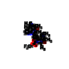 C[C@@H]1CN(C(=O)C(=O)OCC(F)(F)F)[C@@H](c2ccccc2)CN1C(=O)C(C)(C)CN(C)C.C[C@@H]1CN[C@@H](c2ccccc2)CN1C(=O)C(C)(C)CN(C)C